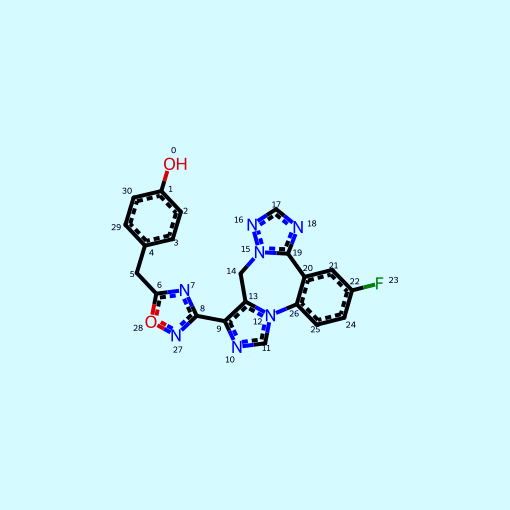 Oc1ccc(Cc2nc(-c3ncn4c3Cn3ncnc3-c3cc(F)ccc3-4)no2)cc1